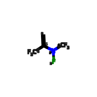 C=C(N(F)C(F)(F)F)C(F)(F)F